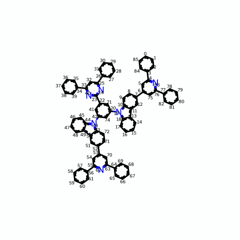 c1ccc(-c2cc(-c3ccc4c(c3)c3ccccc3n4-c3cc(-c4nc(-c5ccccc5)cc(-c5ccccc5)n4)cc(-n4c5ccccc5c5cc(-c6cc(-c7ccccc7)nc(-c7ccccc7)c6)ccc54)c3)cc(-c3ccccc3)n2)cc1